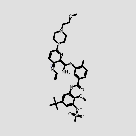 C=C/N=C1/C=CC(N2CCN(CCOC)CC2)=N/C1=C(/N)Sc1cc(C(=O)Nc2cc(C(C)(C)C)cc(NS(C)(=O)=O)c2OC)ccc1C